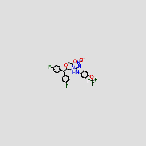 O=[N+]([O-])N=C(Nc1ccc(OC(F)(F)F)cc1)N1CCOC(C(c2ccc(F)cc2)c2ccc(F)cc2)C1